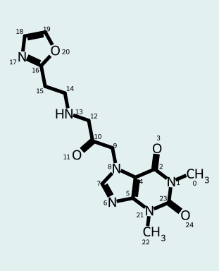 Cn1c(=O)c2c(ncn2CC(=O)CNCCc2ncco2)n(C)c1=O